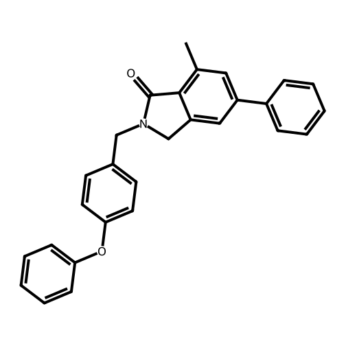 Cc1cc(-c2ccccc2)cc2c1C(=O)N(Cc1ccc(Oc3ccccc3)cc1)C2